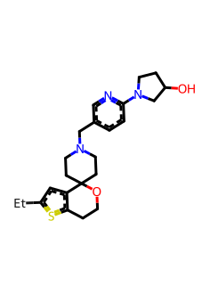 CCc1cc2c(s1)CCOC21CCN(Cc2ccc(N3CCC(O)C3)nc2)CC1